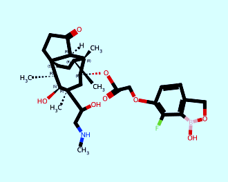 CNCC(O)[C@]1(C)C[C@@H](OC(=O)COc2ccc3c(c2F)B(O)OC3)[C@]2(C)[C@H](C)CC[C@]3(CCC(=O)[C@H]32)[C@@H](C)[C@@H]1O